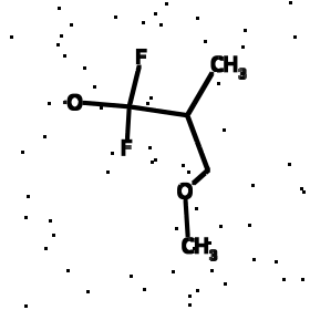 COCC(C)C([O])(F)F